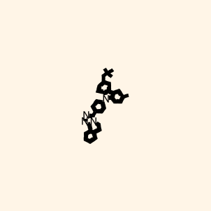 Cc1ccc2c(c1)c1cc(CC(C)(C)C)ccc1n2-c1ccc(-c2nnc3c4ccccc4ccn23)cc1